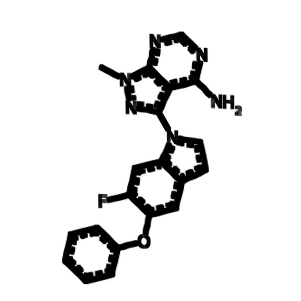 Cn1nc(-n2ccc3cc(Oc4ccccc4)c(F)cc32)c2c(N)ncnc21